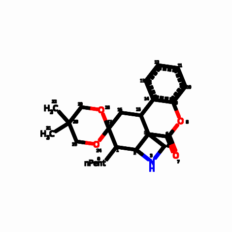 CCCCCC1C2NCC23C(=O)Oc2ccccc2C3CC12OCC(C)(C)CO2